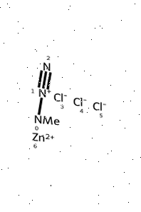 CN[N+]#N.[Cl-].[Cl-].[Cl-].[Zn+2]